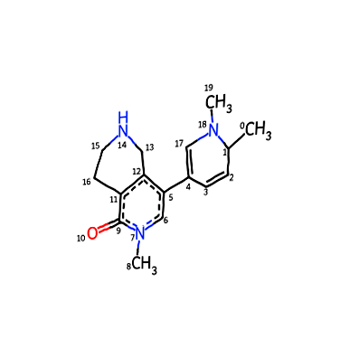 CC1C=CC(c2cn(C)c(=O)c3c2CNCC3)=CN1C